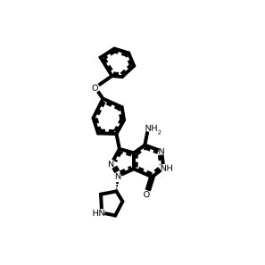 Nc1n[nH]c(=O)c2c1c(-c1ccc(Oc3ccccc3)cc1)nn2[C@@H]1CCNC1